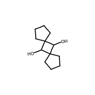 OC1C2(CCCC2)C(O)C12CCCC2